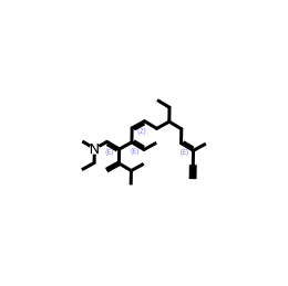 C#C/C(C)=C/CC(CC)C\C=C/C(=C\C)C(=C/N(C)CC)/C(=C)C(C)C